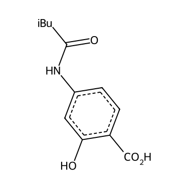 CCC(C)C(=O)Nc1ccc(C(=O)O)c(O)c1